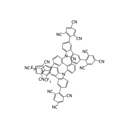 N#Cc1cc(C#N)c(-c2ccc3c(c2)c2cc(-c4c(C#N)cc(C#N)cc4C#N)ccc2n3-c2ccc(-c3cc(C(F)(F)F)cc(C(F)(F)F)c3)cc2-c2c(C#N)cccc2-n2c3ccc(-c4c(C#N)cc(C#N)cc4C#N)cc3c3cc(-c4c(C#N)cc(C#N)cc4C#N)ccc32)c(C#N)c1